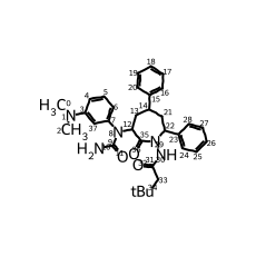 CN(C)c1cccc(N(C(N)=O)C2CC(c3ccccc3)CC(c3ccccc3)N(NC(=O)CC(C)(C)C)C2=O)c1